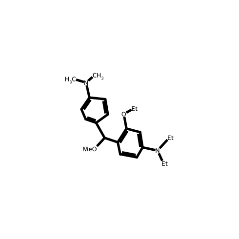 CCOc1cc(N(CC)CC)ccc1C(OC)c1ccc(N(C)C)cc1